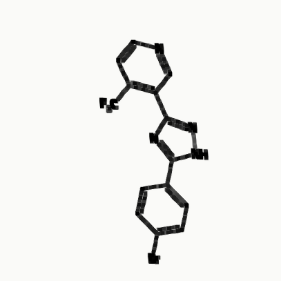 FC(F)(F)c1ccncc1-c1n[nH]c(-c2ccc(Br)cc2)n1